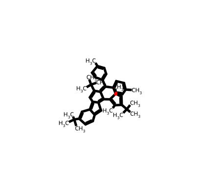 CC1=C(c2c3c(cc(C(C)(C)C)c2=C(c2ccc(C)cc2)c2ccc(C)cc2)=c2cc(C(C)(C)C)ccc2=[C]3)C(C)C=C1C(C)(C)C